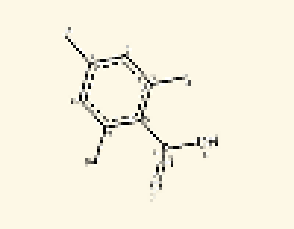 Cc1cc(C)c([PH](=O)O)c(C)c1